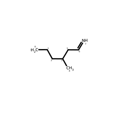 [CH2]CCC(C)CC=N